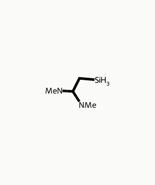 CNC(C[SiH3])NC